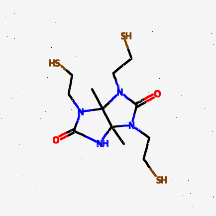 CC12NC(=O)N(CCS)C1(C)N(CCS)C(=O)N2CCS